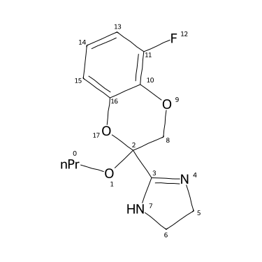 CCCOC1(C2=NCCN2)COc2c(F)cccc2O1